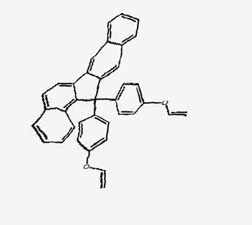 C=COc1ccc(C2(c3ccc(OC=C)cc3)c3cc4ccccc4cc3-c3ccc4ccccc4c32)cc1